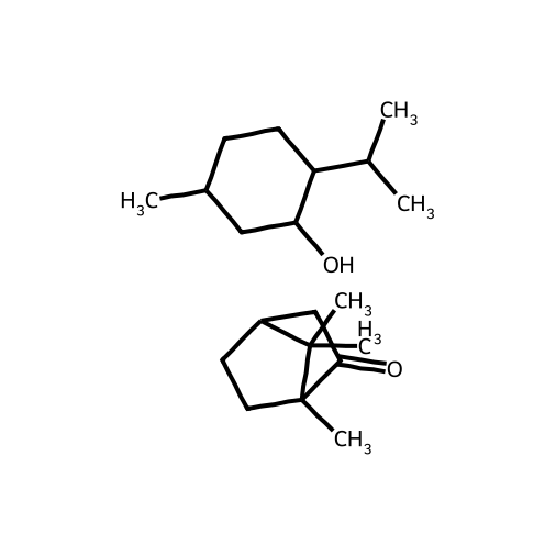 CC12CCC(CC1=O)C2(C)C.CC1CCC(C(C)C)C(O)C1